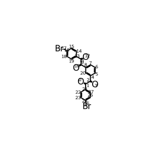 O=C(C(=O)c1cccc(C(=O)C(=O)c2ccc(Br)cc2)c1)c1ccc(Br)cc1